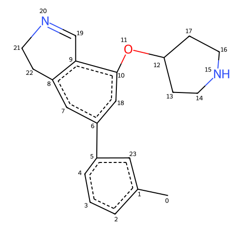 Cc1cccc(-c2cc3c(c(OC4CCNCC4)c2)C=NCC3)c1